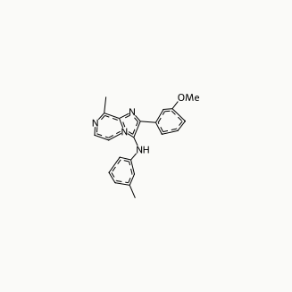 COc1cccc(-c2nc3c(C)nccn3c2Nc2cccc(C)c2)c1